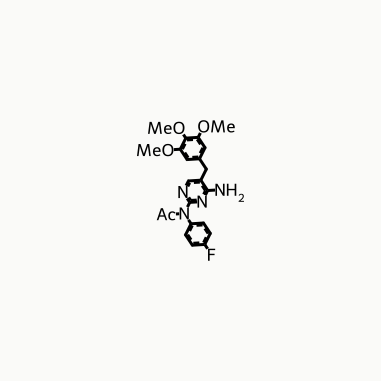 COc1cc(Cc2cnc(N(C(C)=O)c3ccc(F)cc3)nc2N)cc(OC)c1OC